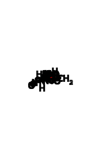 C=CC(=O)Nc1cccc(-c2nc(Nc3cccc(N4CCOCC4)c3)nc3[nH]nc(C(=O)Nc4ccccc4)c23)c1